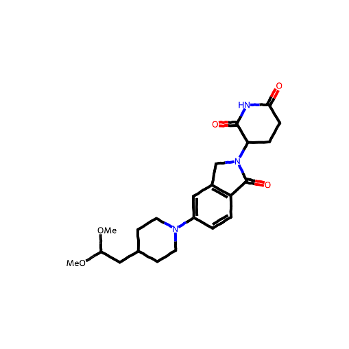 COC(CC1CCN(c2ccc3c(c2)CN(C2CCC(=O)NC2=O)C3=O)CC1)OC